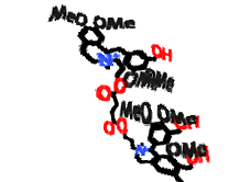 COc1cc2c(cc1OC)C(Cc1cc(CO)c(OC)c(OC)c1)[N+](C)(CCCOC(=O)CCC(=O)OCCC[N+]1(C)CCc3cc(CO)c(CO)c(OC)c3C1c1cc(CO)c(OC)c(OC)c1)CC2